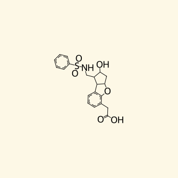 O=C(O)Cc1cccc2c1OC1CC(O)C(CNS(=O)(=O)c3ccccc3)C21